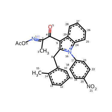 CC(=O)O/N=C(\C)C(=O)c1c(Cc2ccccc2C)n(-c2ccc([N+](=O)[O-])cc2)c2ccccc12